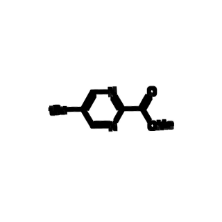 COC(=O)c1ncc(C(C)(C)C)cn1